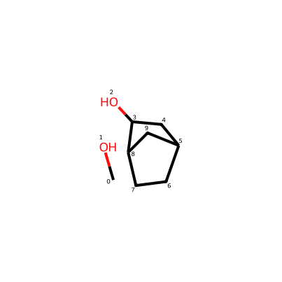 CO.OC1CC2CCC1C2